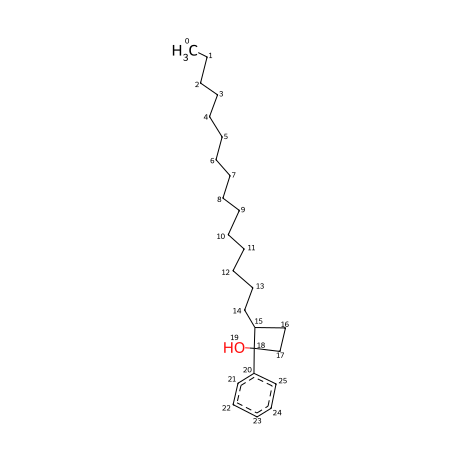 CCCCCCCCCCCCCCCC1CCC1(O)c1ccccc1